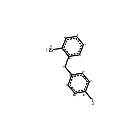 Sc1ccccc1Cc1ccc(I)cc1